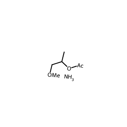 COCC(C)OC(C)=O.N